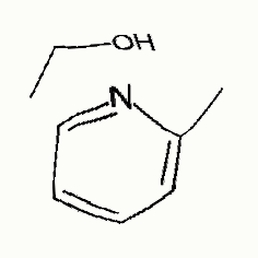 CCO.Cc1ccccn1